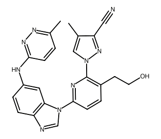 Cc1ccc(Nc2ccc3ncn(-c4ccc(CCO)c(-n5cc(C)c(C#N)n5)n4)c3c2)nn1